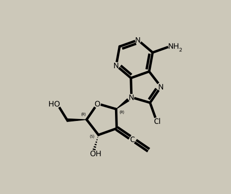 C=C=C1[C@H](n2c(Cl)nc3c(N)ncnc32)O[C@H](CO)[C@H]1O